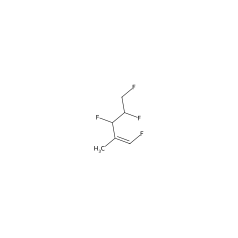 CC(=CF)C(F)C(F)CF